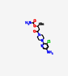 CC(C)(C)C(CC(=O)N1CCN(c2ncc(N)cc2Cl)CC1)OC(N)=O